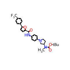 CN(C(=O)OC(C)(C)C)C1CCN(c2ccc(NC(=O)c3ccc(-c4ccc(C(F)(F)F)cc4)o3)cc2)C1